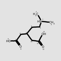 C[SiH](C)CCC(CC(=O)O)CC(=O)O